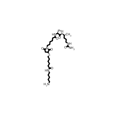 CC(C)[C@H](NC(=O)CCCCCN1C(=O)CC(SCCCCCC(=O)NCCCCCN)C1=O)C(=O)N[C@H](C)CCCNC(N)=O